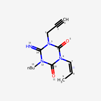 C#CCn1c(=O)n(/C=C\C)c(=O)n(CCCC)c1=N